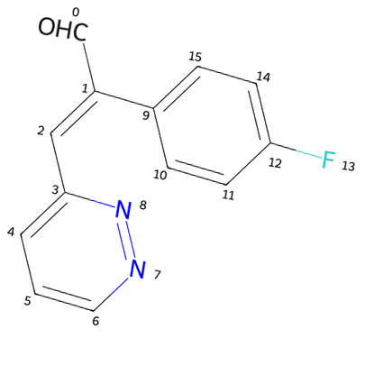 O=CC(=Cc1cccnn1)c1ccc(F)cc1